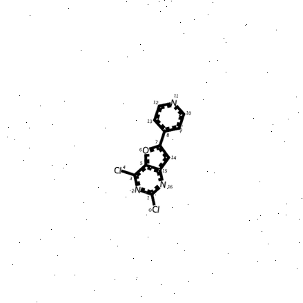 Clc1nc(Cl)c2oc(-c3ccncc3)cc2n1